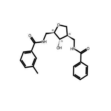 Cc1cccc(C(=O)NC[C@H]2OC[C@@H](CNC(=O)c3ccccc3)[C@@H]2O)c1